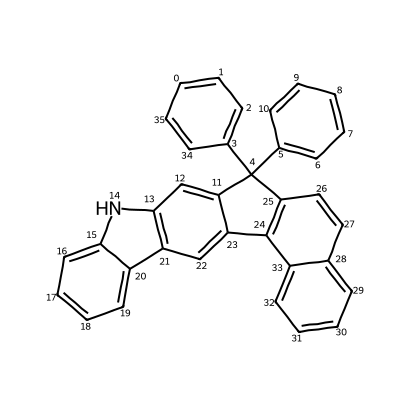 c1ccc(C2(c3ccccc3)c3cc4[nH]c5ccccc5c4cc3-c3c2ccc2ccccc32)cc1